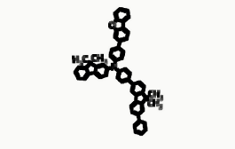 CC1(C)c2ccc(-c3ccc(N(c4ccc(-c5ccc6c(c5)oc5ccccc56)cc4)c4ccc5c(c4)C(C)(C)c4ccccc4-5)cc3)cc2-c2ccc(-c3ccccc3)cc21